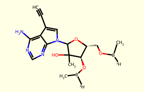 [2H]B(C)OC[C@H]1OC(n2cc(C#C)c3c(N)ncnc32)C(C)(O)[C@@H]1OB([2H])C